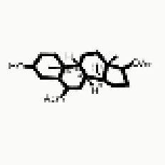 CC(=O)OC1C[C@@H]2[C@@H](CC[C@]3(C)C(OC(C)=O)CC[C@@H]23)[C@@]2(C)CCC(O)CC12